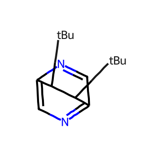 CC(C)(C)C1c2cnc(cn2)C1C(C)(C)C